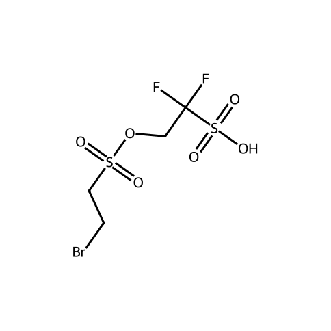 O=S(=O)(CCBr)OCC(F)(F)S(=O)(=O)O